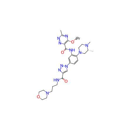 Cc1nnc(C(=O)Nc2cc(-n3cc(C(=O)NCCCN4CCOCC4)nn3)ccc2N2CCN(C)[C@H](C)C2)c(OC(C)C)n1